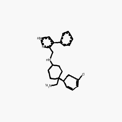 NCC1(C2C=CC=C(Cl)C2)CCC(NCc2n[nH]cc2-c2ccccc2)CC1